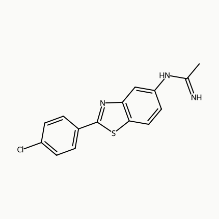 CC(=N)Nc1ccc2sc(-c3ccc(Cl)cc3)nc2c1